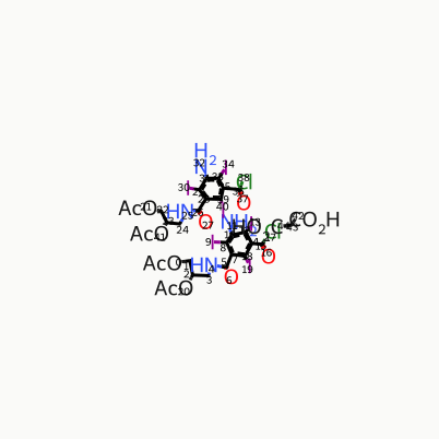 CC(=O)OCC(CNC(=O)c1c(I)c(N)c(I)c(C(=O)Cl)c1I)OC(C)=O.CC(=O)OCC(CNC(=O)c1c(I)c(N)c(I)c(C(=O)Cl)c1I)OC(C)=O.O=C(O)CC(=O)O